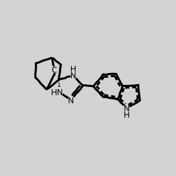 c1cc2ccc(C3=NN[C@]4(CC5CCC4CC5)N3)cc2[nH]1